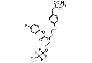 CCOC(Cc1ccc(OCCN(CCOC(F)(F)C(F)(F)C(F)(F)F)C(=O)Oc2ccc(F)cc2)cc1)C(=O)O